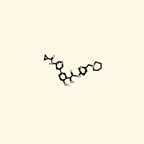 N=C(C(=O)Nc1ccc(CN2CCCCC2)nc1)c1cc(-c2cncc(NC(=O)C3CC3)c2)ccc1N